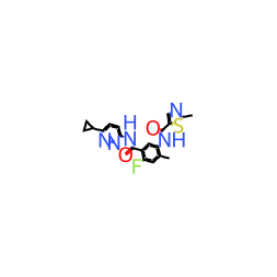 Cc1ncc(C(=O)Nc2cc(C(=O)Nc3ccc(C4CC4)nn3)c(F)cc2C)s1